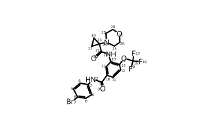 O=C(Nc1ccc(Br)cc1)c1ccc(OC(F)(F)F)c(NC(=O)C2(N3CCOCC3)CC2)c1